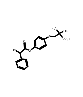 CCC(C(=O)Oc1ccc(SCC(C)(C)C(=O)O)cc1)c1ccccc1